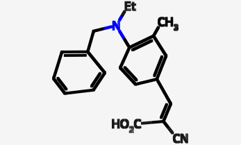 CCN(Cc1ccccc1)c1ccc(C=C(C#N)C(=O)O)cc1C